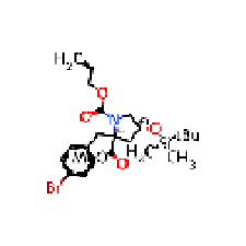 C=CCOC(=O)N1C[C@H](O[Si](C)(C)C(C)(C)C)C[C@]1(Cc1ccc(Br)cc1)C(=O)OC